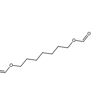 O=COCCCCCCCOC=O